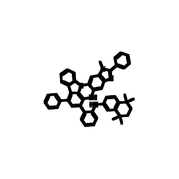 Cn1c(-c2ccccc2)nc2cc3c(cc21)-n1c2ccccc2c2c(-c4ccccc4)cc(-c4ccccc4Nc4ccc5c(c4)C(C)(C)CCC5(C)C)c(c21)B3